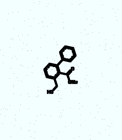 COC(=O)c1c(CO)cccc1-c1ccccc1